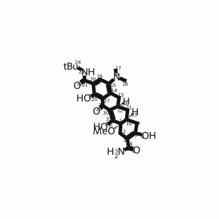 CO[C@@]12CC(C(N)=O)=C(O)C[C@@H]1C[C@@H]1Cc3c(N(C)C)cc(C(=O)NC(C)(C)C)c(O)c3C(=O)C1=C2O